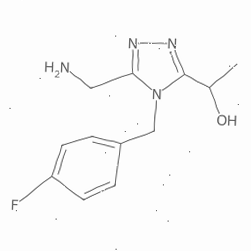 CC(O)c1nnc(CN)n1Cc1ccc(F)cc1